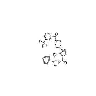 O=C(c1cccc(C(F)(F)F)c1)N1CCC(n2ncc(C(=O)N3CCC(c4cccnc4)C3)c2C2CC2)CC1